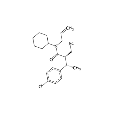 C=CCN(C(=O)[C@@H](CC(C)=O)[C@H](C)c1ccc(Cl)cc1)C1CCCCC1